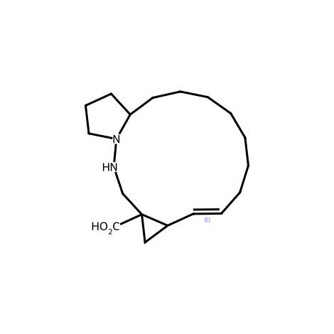 O=C(O)C12CNN3CCCC3CCCCCCC/C=C/C1C2